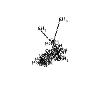 CCCCCCCCCCCCC/C=C/[C@@H](O)[C@H](CO[C@@H]1OC(CO)[C@@H](O[C@@H]2OC(CO)[C@H](O)[C@H](O[C@@H]3OC(CO)[C@@H](O[C@@H]4OC(CO)[C@H](O)[C@H](O[C@]5(C(=O)O)CC(O)[C@@H](NC(=O)CO)C([C@H](O)[C@@H](CO)O[C@]6(C(=O)O)CC(O)[C@@H](NC(=O)CO)C([C@H](O)[C@H](O)CO)O6)O5)C4O)[C@H](O)C3NC(C)=O)C2O)[C@H](O)C1O)NC(=O)CCCCCCCCCCCCCCCCCCC